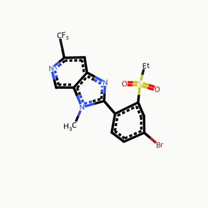 CCS(=O)(=O)c1cc(Br)ccc1-c1nc2cc(C(F)(F)F)ncc2n1C